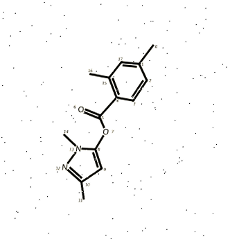 Cc1ccc(C(=O)Oc2cc(C)nn2C)c(C)c1